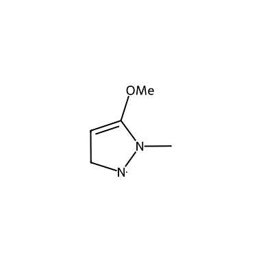 COC1=CC[N]N1C